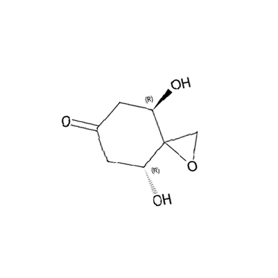 O=C1C[C@@H](O)C2(CO2)[C@H](O)C1